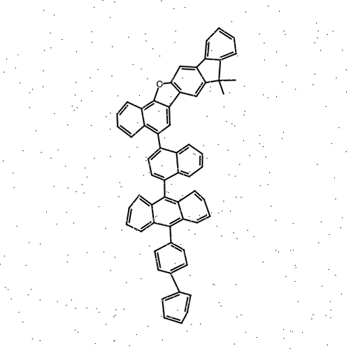 CC1(C)c2ccccc2-c2cc3oc4c5ccccc5c(-c5ccc(-c6c7ccccc7c(-c7ccc(-c8ccccc8)cc7)c7ccccc67)c6ccccc56)cc4c3cc21